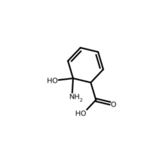 NC1(O)C=CC=CC1C(=O)O